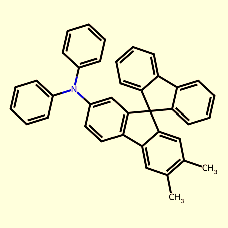 Cc1cc2c(cc1C)C1(c3ccccc3-c3ccccc31)c1cc(N(c3ccccc3)c3ccccc3)ccc1-2